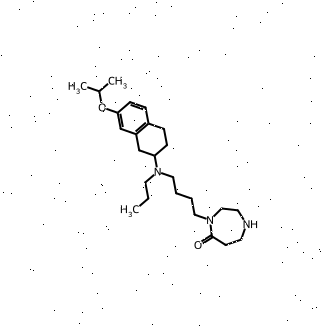 CCCN(CCCCN1CCNCCC1=O)C1CCc2ccc(OC(C)C)cc2C1